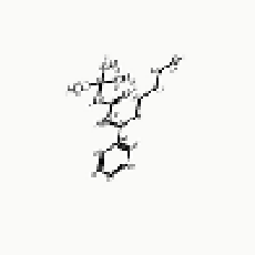 CC(C)(C)OC(=O)NC(CCCCBr)c1ccccc1